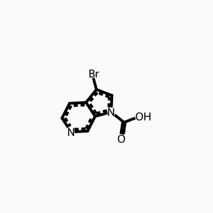 O=C(O)n1cc(Br)c2ccncc21